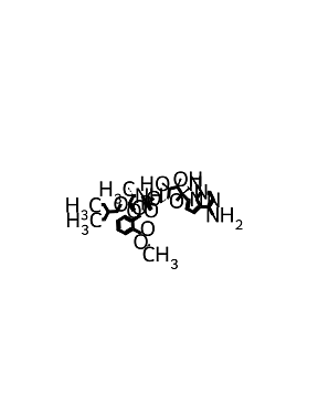 CCOC(=O)c1ccccc1COP(=O)(N[C@@H](C)C(=O)OCC(CC)CC)OC[C@H]1O[C@@](C#N)(c2ccc3c(N)ncnn23)[C@H](O)[C@@H]1O